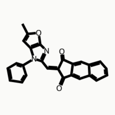 Cc1cc2c(nc(C=C3C(=O)c4cc5ccccc5cc4C3=O)n2-c2ccccc2)o1